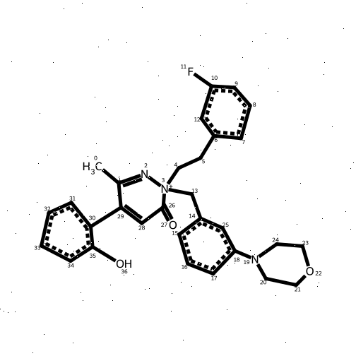 CC1=N[N+](CCc2cccc(F)c2)(Cc2cccc(N3CCOCC3)c2)C(=O)C=C1c1ccccc1O